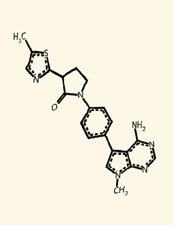 Cc1cnc(C2CCN(c3ccc(-c4cn(C)c5ncnc(N)c45)cc3)C2=O)s1